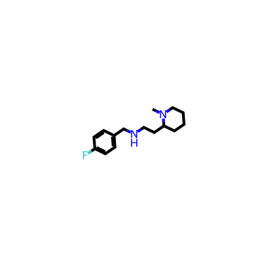 CN1CCCCC1CCNCc1ccc(F)cc1